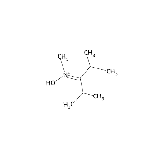 CC(C)C(C(C)C)=[N+](C)O